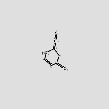 O=C=C1CC(=O)C=CN1